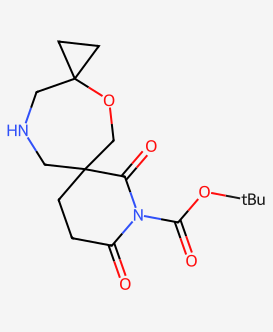 CC(C)(C)OC(=O)N1C(=O)CCC2(CNCC3(CC3)OC2)C1=O